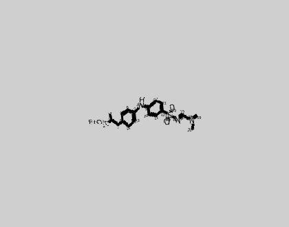 CCOC(=O)/C(C)=C/c1ccc(Nc2ccc(S(=O)(=O)/N=C/N(C)C)cc2)cc1